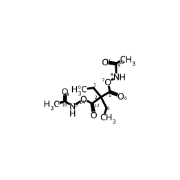 CCC(CC)(C(=O)ONC(C)=O)C(=O)ONC(C)=O